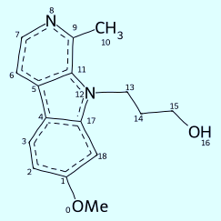 COc1ccc2c3ccnc(C)c3n(CCCO)c2c1